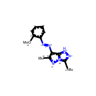 CCCCc1n[nH]c2c(/N=N/c3ccccc3OC)c(C(C)(C)C)nn12